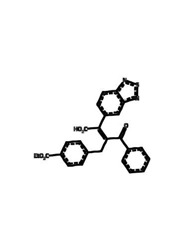 CCOC(=O)c1ccc(CC(C(=O)c2ccccc2)=C(C(=O)O)c2ccc3nsnc3c2)cc1